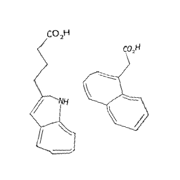 O=C(O)CCCc1cc2ccccc2[nH]1.O=C(O)Cc1cccc2ccccc12